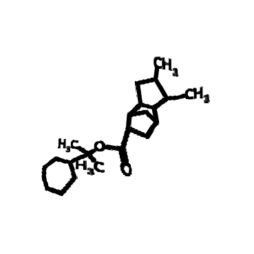 CC1CC2C3CC(CC3C(=O)OC(C)(C)C3CCCCC3)C2C1C